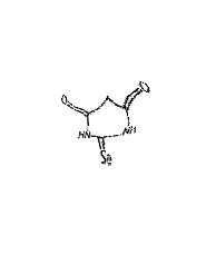 O=C1CC(=O)NC(=[Se])N1